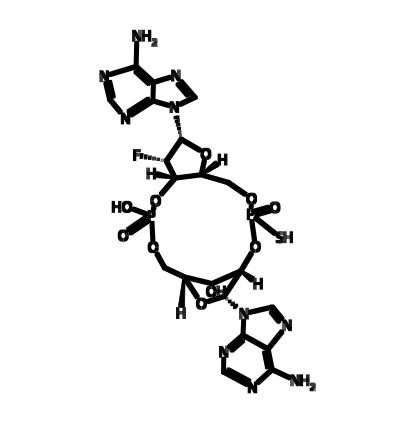 Nc1ncnc2c1ncn2[C@@H]1O[C@@H]2COP(=O)(S)O[C@H]3C(O)[C@@H](COP(=O)(O)O[C@@H]2[C@@H]1F)O[C@H]3n1cnc2c(N)ncnc21